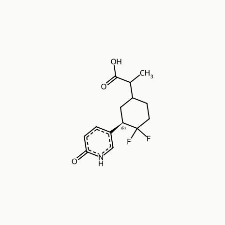 CC(C(=O)O)C1CCC(F)(F)[C@@H](c2ccc(=O)[nH]c2)C1